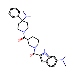 CN(C)c1ccc2cc(C(=O)N3CCCC(C(=O)N4CCC(c5ccccc5)(N(C)C)CC4)C3)[nH]c2c1